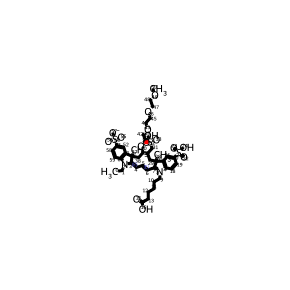 CCN1/C(=C/C=C/C2=[N+](CCCCCC(=O)O)c3ccc(S(=O)(=O)O)cc3C2(C)CCCS(=O)(=O)O)C(C)(CCOCCOCCOCCOC)c2cc(S(=O)(=O)[O-])ccc21